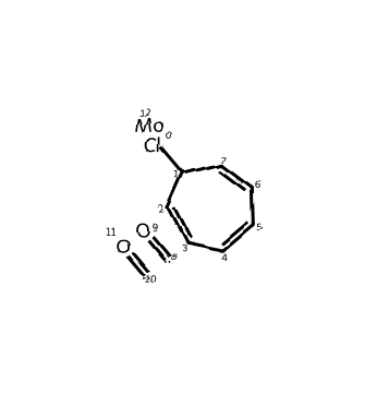 ClC1C=CC=CC=C1.[C]=O.[C]=O.[Mo]